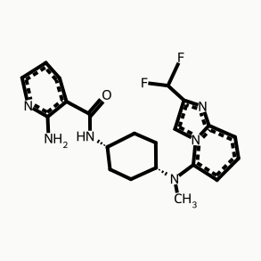 CN(c1cccc2nc(C(F)F)cn12)[C@H]1CC[C@@H](NC(=O)c2cccnc2N)CC1